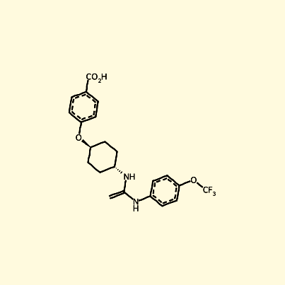 C=C(Nc1ccc(OC(F)(F)F)cc1)N[C@H]1CC[C@H](Oc2ccc(C(=O)O)cc2)CC1